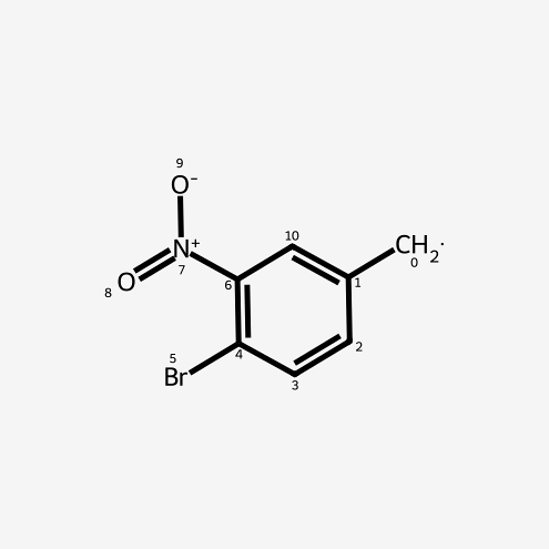 [CH2]c1ccc(Br)c([N+](=O)[O-])c1